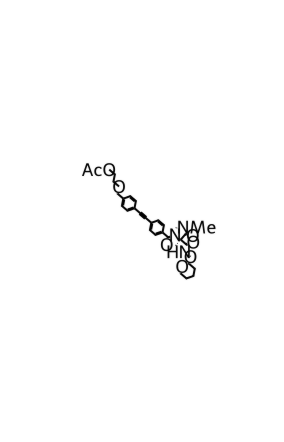 CNC(=O)[C@@](C)(C(=O)NOC1CCCCO1)N(C)C(=O)c1ccc(C#Cc2ccc(COCCOC(C)=O)cc2)cc1